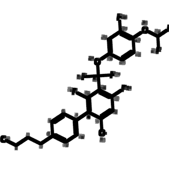 CCCCc1ccc(-c2c([O])cc(F)c(C(F)(F)Oc3ccc(OC(F)F)c(F)c3)c2F)cc1